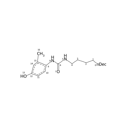 CCCCCCCCCCCCCCNC(=O)Nc1ccc(O)cc1C